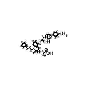 Cc1ccc(N2CCN(CC(O)COc3cccc4c3CCC(=O)N4CCCc3ccccc3)CC2)cc1.O=C(O)C(=O)O